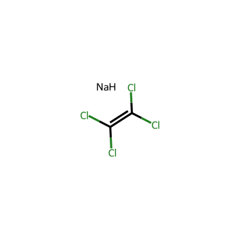 ClC(Cl)=C(Cl)Cl.[NaH]